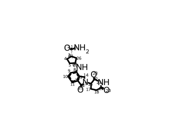 NC(=O)[C@H]1CC[C@@H](Nc2cccc3c2CN(C2CCC(=O)NC2=O)C3=O)C1